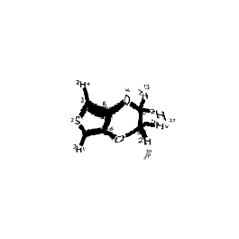 [2H]c1sc([2H])c2c1OC([2H])([2H])C([2H])([2H])O2